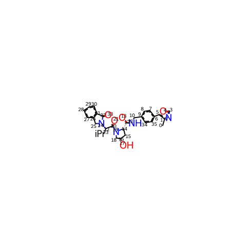 Cc1ncoc1-c1ccc(CNC(=O)[C@@H]2C[C@@H](O)CN2C(=O)C(C(C)C)N2Cc3ccccc3C2=O)cc1